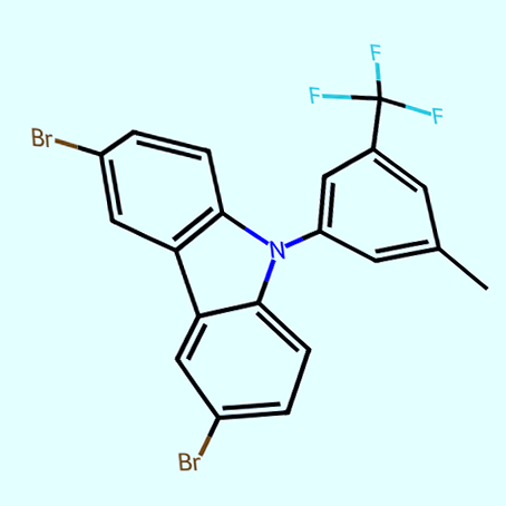 Cc1cc(-n2c3ccc(Br)cc3c3cc(Br)ccc32)cc(C(F)(F)F)c1